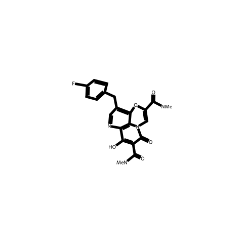 CNC(=O)C1=Cn2c(=O)c(C(=O)NC)c(O)c3ncc(Cc4ccc(F)cc4)c(c32)O1